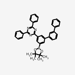 CC1(C)OB(c2cc(-c3cccc(-c4ccccc4)c3)cc(-c3nc(-c4ccccc4)nc(-c4ccccc4)n3)c2)OC1(C)C